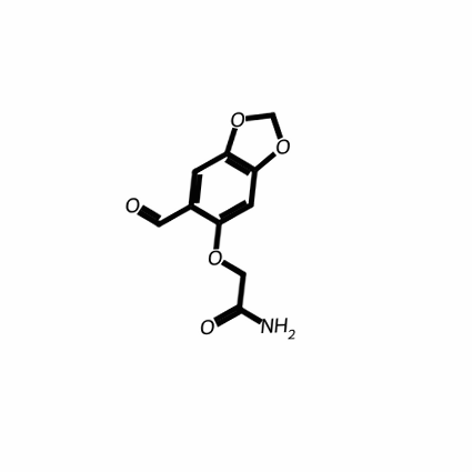 NC(=O)COc1cc2c(cc1C=O)OCO2